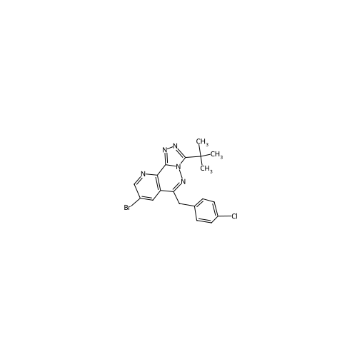 CC(C)(C)c1nnc2c3ncc(Br)cc3c(Cc3ccc(Cl)cc3)nn12